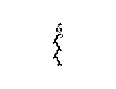 C=CN1CCN(C(=O)CCC=C(C)CCC=C(C)CCC=C(C)CCC=C(C)C)CC1